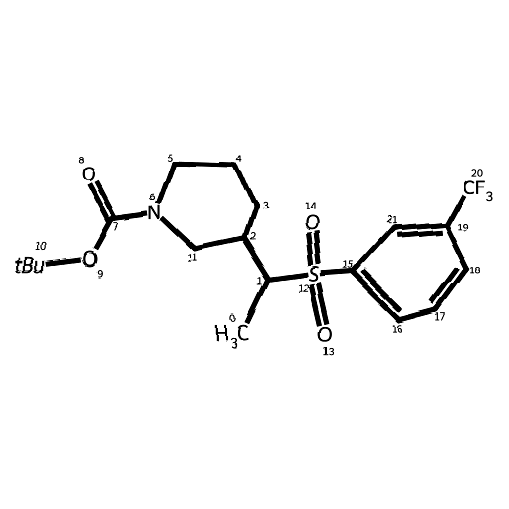 CC(C1CCCN(C(=O)OC(C)(C)C)C1)S(=O)(=O)c1cccc(C(F)(F)F)c1